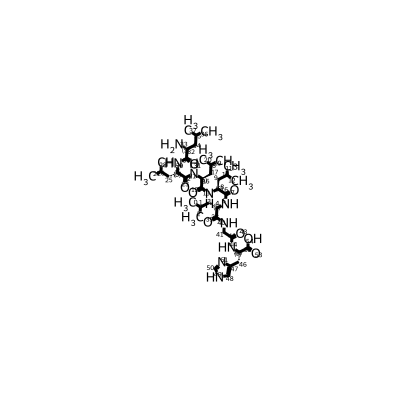 CC(C)C[C@H](NC(=O)[C@H](CC(C)C)NC(=O)[C@H](CC(C)C)NC(=O)[C@H](CC(C)C)NC(=O)[C@@H](N)CC(C)C)C(=O)NCC(=O)N[C@@H](Cc1c[nH]cn1)C(=O)O